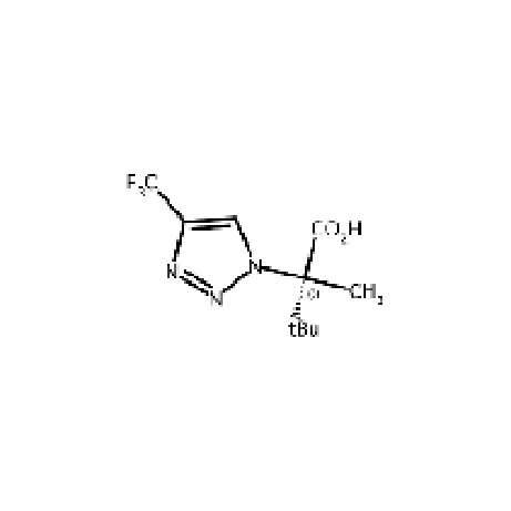 CC(C)(C)[C@@](C)(C(=O)O)n1cc(C(F)(F)F)nn1